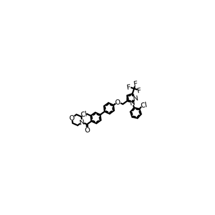 O=C(c1ccc(-c2ccc(OCc3cc(C(F)(F)F)nn3-c3ccccc3Cl)cc2)cc1Cl)N1CCOCC1